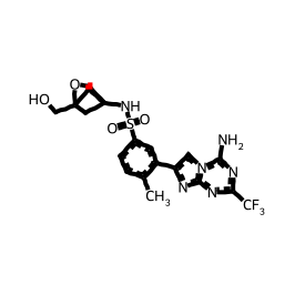 Cc1ccc(S(=O)(=O)NC23COC(CO)(C2)C3)cc1-c1cn2c(N)nc(C(F)(F)F)nc2n1